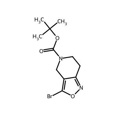 CC(C)(C)OC(=O)N1CCc2noc(Br)c2C1